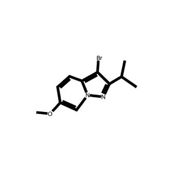 COc1ccc2c(Br)c(C(C)C)nn2c1